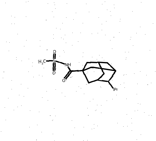 CC(C)C1C2CC3CC1CC(C(=O)NS(C)(=O)=O)(C3)C2